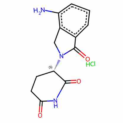 Cl.Nc1cccc2c1CN([C@H]1CCC(=O)NC1=O)C2=O